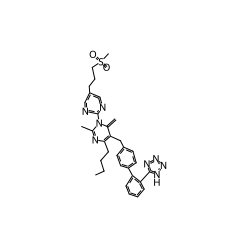 C=C1C(Cc2ccc(-c3ccccc3-c3nnn[nH]3)cc2)=C(CCCC)N=C(C)N1c1ncc(CCCS(C)(=O)=O)cn1